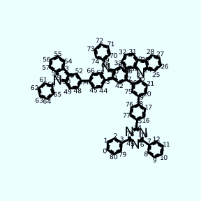 c1ccc(-c2nc(-c3ccccc3)nc(-c3ccc(-c4ccc(-n5c6ccccc6c6ccccc65)c(-c5ccc6c(c5)c5ccc(-c7ccc8c(c7)c7ccccc7n8-c7ccccc7)cc5n6-c5ccccc5)c4)cc3)n2)cc1